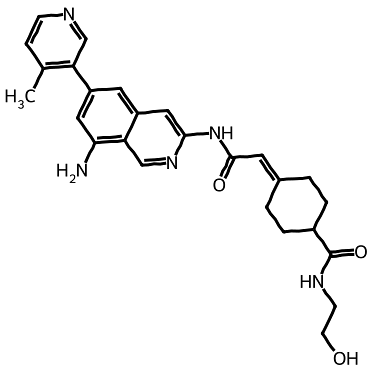 Cc1ccncc1-c1cc(N)c2cnc(NC(=O)C=C3CCC(C(=O)NCCO)CC3)cc2c1